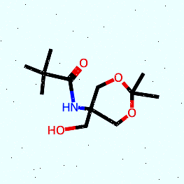 CC1(C)OCC(CO)(NC(=O)C(C)(C)C)CO1